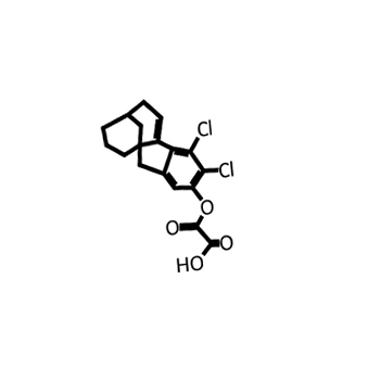 O=C(O)C(=O)Oc1cc2c(c(Cl)c1Cl)C1=CCC3CCCC1(C2)C3